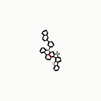 C[Si]1(C)c2cc(N(c3cccc(-c4ccc5ccccc5c4)c3)c3ccccc3-c3ccccc3)ccc2-c2c1ccc1c2oc2ccccc21